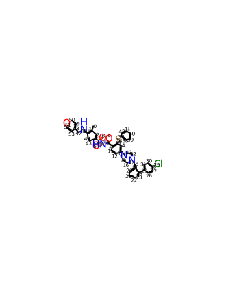 Cc1cc(S(=O)(=O)NC(=O)c2ccc(N3CCN(Cc4ccccc4-c4ccc(Cl)cc4)CC3)cc2Sc2ccccc2)ccc1NCC1=CCOC=C1